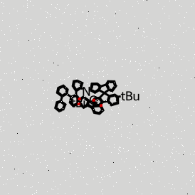 CC(C)(C)c1ccc2c(c1)C1(c3ccccc3-c3ccc(N(c4ccccc4-c4ccccc4-c4ccccc4-c4ccccc4)c4cccc5c4oc4ccccc45)cc31)c1cc(C(C)(C)C)ccc1-2